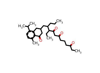 CCCC(CC1CC(=O)c2c(C)ccc(C(C)C)c2C1)C(CC)C(=O)CC(=O)CCCC(=O)CC